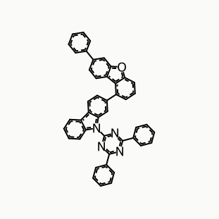 c1ccc(-c2ccc3c(c2)oc2cccc(-c4ccc5c6ccccc6n(-c6nc(-c7ccccc7)nc(-c7ccccc7)n6)c5c4)c23)cc1